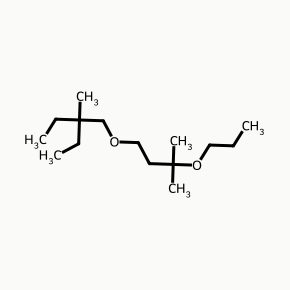 CCCOC(C)(C)CCOCC(C)(CC)CC